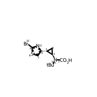 CC(C)(C)N(C(=O)O)[C@@H]1C[C@H]1c1csc(Br)n1